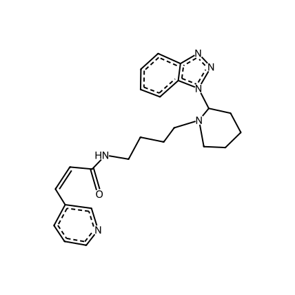 O=C(/C=C\c1cccnc1)NCCCCN1CCCCC1n1nnc2ccccc21